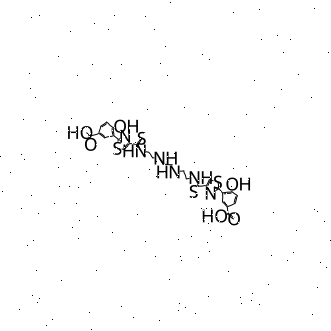 O=C(O)c1ccc(O)c(-c2nc(C(=S)NCCNCCNCCNC(=S)c3csc(-c4cc(C(=O)O)ccc4O)n3)cs2)c1